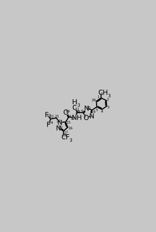 Cc1cccc(-c2noc([C@H](C)NC(=O)c3cc(C(F)(F)F)nn3CC(F)F)n2)c1